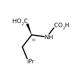 CC(C)C[C@H](NC(=O)O)C(=O)O